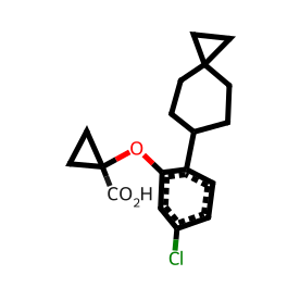 O=C(O)C1(Oc2cc(Cl)ccc2C2CCC3(CC2)CC3)CC1